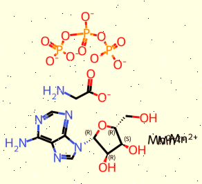 NCC(=O)[O-].Nc1ncnc2c1ncn2[C@@H]1O[C@H](CO)[C@@H](O)[C@H]1O.O=P([O-])([O-])OP(=O)([O-])OP(=O)([O-])[O-].[Mn+2].[Mn+2].[Mn+2]